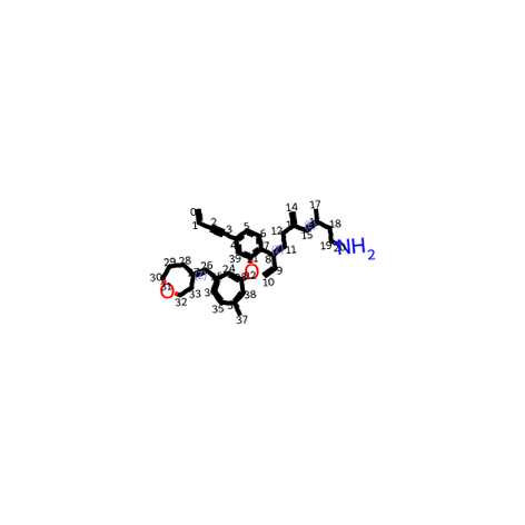 C=CC#Cc1ccc(/C(C=C)=C\CC(=C)/C=C(\C)CCN)c(OC2=CC(/C=C3/CCCOCC3)=C=CC(C)=C2)c1